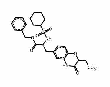 O=C(O)CC1Oc2ccc(C[C@H](NS(=O)(=O)C3CCCCC3)C(=O)OCc3ccccc3)cc2NC1=O